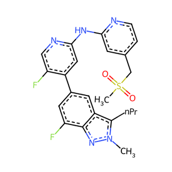 CCCc1c2cc(-c3cc(Nc4cc(CS(C)(=O)=O)ccn4)ncc3F)cc(F)c2nn1C